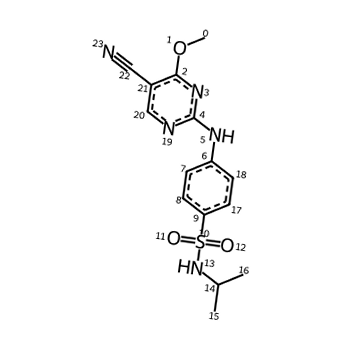 COc1nc(Nc2ccc(S(=O)(=O)NC(C)C)cc2)ncc1C#N